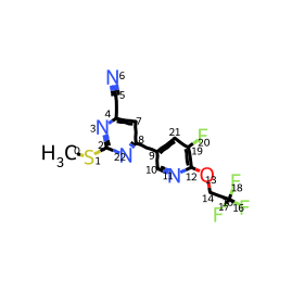 CSc1nc(C#N)cc(-c2cnc(OCC(F)(F)F)c(F)c2)n1